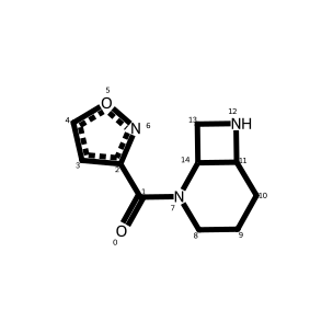 O=C(c1ccon1)N1CCCC2NCC21